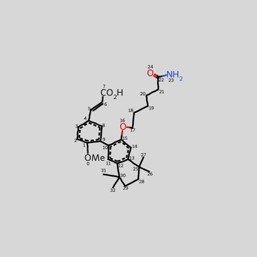 COc1ccc(C=CC(=O)O)cc1-c1cc2c(cc1OCCCCCC(N)=O)C(C)(C)CCC2(C)C